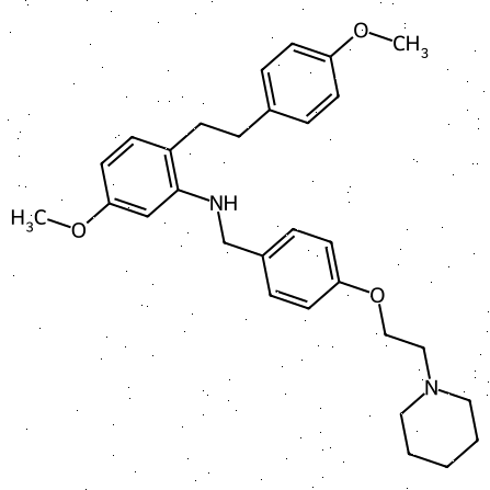 COc1ccc(CCc2ccc(OC)cc2NCc2ccc(OCCN3CCCCC3)cc2)cc1